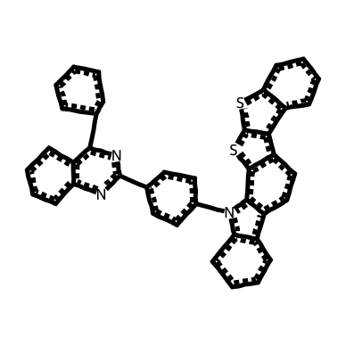 c1ccc(-c2nc(-c3ccc(-n4c5ccccc5c5ccc6c(sc7sc8ccccc8c76)c54)cc3)nc3ccccc23)cc1